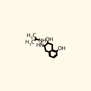 CC(C)NNC1Cc2cccc(O)c2CC1O